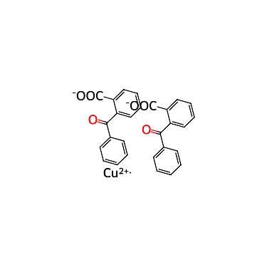 O=C([O-])c1ccccc1C(=O)c1ccccc1.O=C([O-])c1ccccc1C(=O)c1ccccc1.[Cu+2]